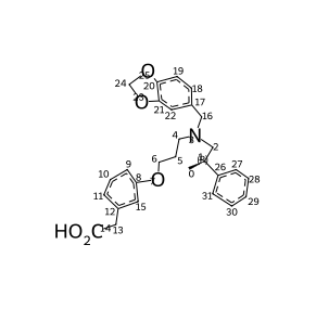 C[C@@H](CN(CCCOc1cccc(CC(=O)O)c1)Cc1ccc2c(c1)OCO2)c1ccccc1